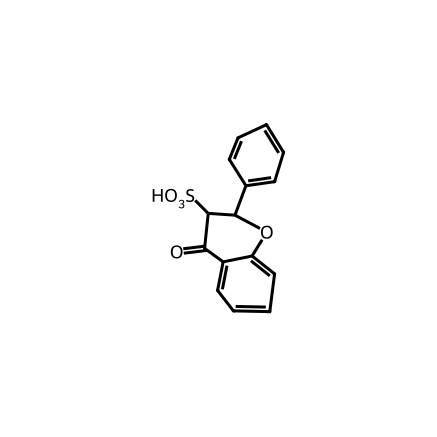 O=C1c2ccccc2OC(c2ccccc2)C1S(=O)(=O)O